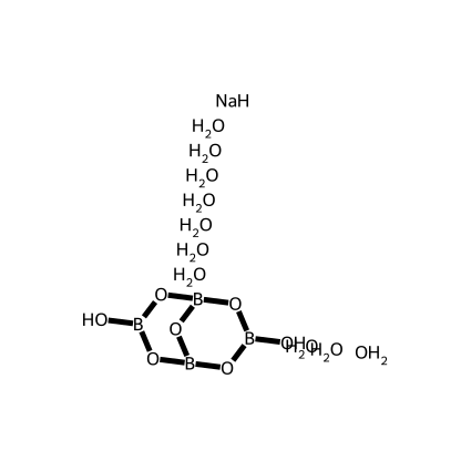 O.O.O.O.O.O.O.O.O.O.OB1OB2OB(O)OB(O1)O2.[NaH]